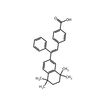 CC1(C)CCC(C)(C)c2cc(C(=Cc3ccc(C(=O)O)cc3)c3ccccc3)ccc21